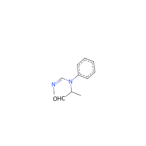 C/N=C\N(c1ccccc1)C(C)C=O